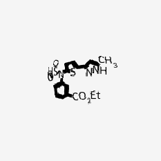 CCOC(=O)c1cccc(N(c2ccc(-c3cc(C)[nH]n3)s2)[SH](=O)=O)c1